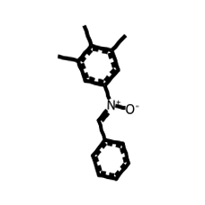 Cc1cc([N+]([O-])=Cc2ccccc2)cc(C)c1C